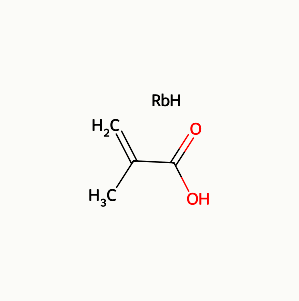 C=C(C)C(=O)O.[RbH]